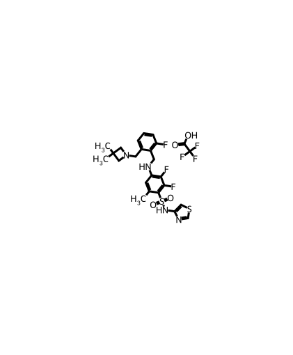 Cc1cc(NCc2c(F)cccc2CN2CC(C)(C)C2)c(F)c(F)c1S(=O)(=O)Nc1cscn1.O=C(O)C(F)(F)F